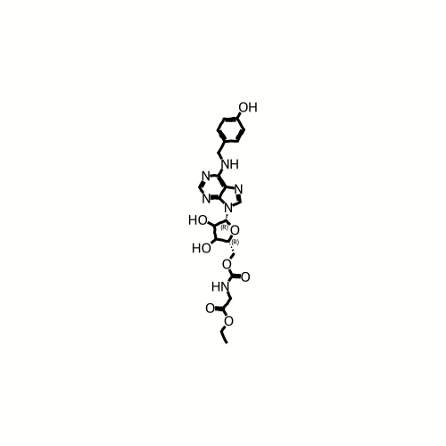 CCOC(=O)CNC(=O)OC[C@H]1O[C@@H](n2cnc3c(NCc4ccc(O)cc4)ncnc32)C(O)C1O